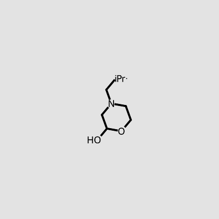 C[C](C)CN1CCOC(O)C1